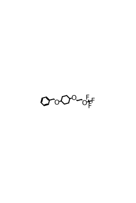 FC(F)(F)OCCOC1CCC(OCc2ccccc2)CC1